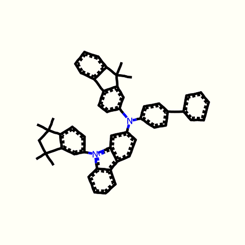 CC1(C)CC(C)(C)c2cc(-n3c4ccccc4c4ccc(N(c5ccc(-c6ccccc6)cc5)c5ccc6c(c5)C(C)(C)c5ccccc5-6)cc43)ccc21